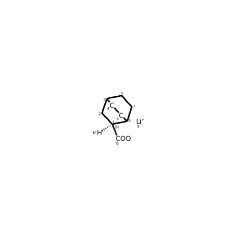 O=C([O-])[C@H]1CC2CCC1CC2.[Li+]